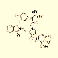 CCCC(CCC)N(C(=O)CN1C[C@H](c2cc(OC)c3c(c2)OCO3)[C@@H](C(=O)O)[C@@H]1CCN1Cc2ccccc2C1=O)c1ccc(F)c(C)c1